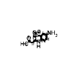 Nc1ccc2c(c1)S(=O)(=O)N=C(CC(=O)O)N2